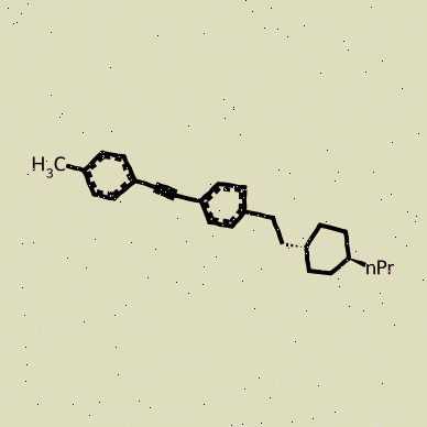 CCC[C@H]1CC[C@H](CCc2ccc(C#Cc3ccc(C)cc3)cc2)CC1